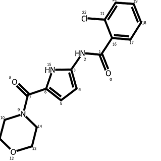 O=C(Nc1ccc(C(=O)N2CCOCC2)[nH]1)c1ccccc1Cl